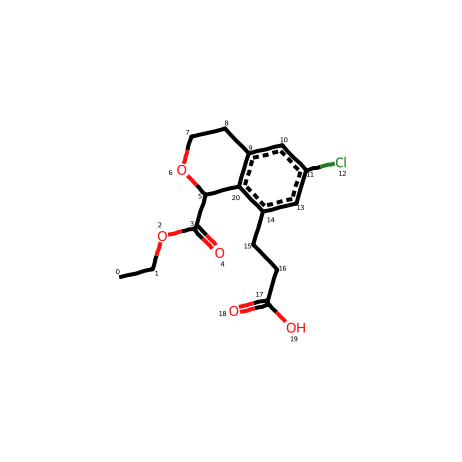 CCOC(=O)C1OCCc2cc(Cl)cc(CCC(=O)O)c21